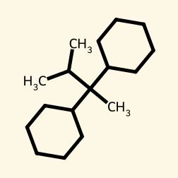 CC(C)C(C)(C1CCCCC1)C1CCCCC1